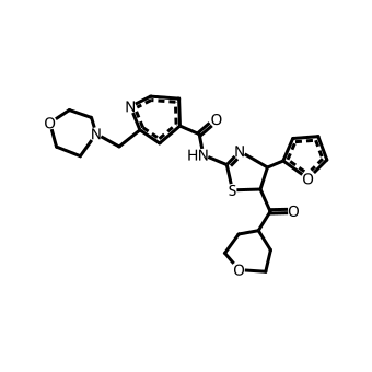 O=C(NC1=NC(c2ccco2)C(C(=O)C2CCOCC2)S1)c1ccnc(CN2CCOCC2)c1